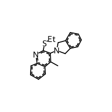 CCSc1nc2ccccc2c(C)c1N1Cc2ccccc2C1